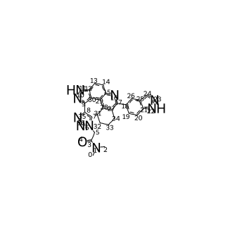 CN(C)C(=O)Cn1cc(-c2n[nH]c3ccc4nc(-c5ccc6[nH]ncc6c5)c5c(c4c23)CCCC5)nn1